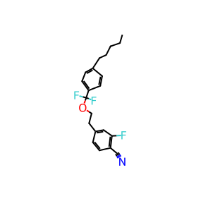 CCCCCc1ccc(C(F)(F)OCCc2ccc(C#N)c(F)c2)cc1